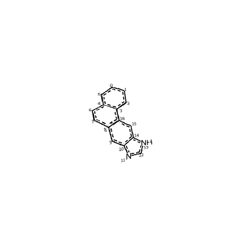 c1ccc2c(c1)ccc1cc3nc[nH]c3cc12